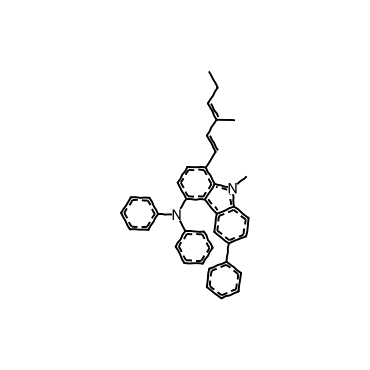 CC/C=C(C)/C=C/c1ccc(N(c2ccccc2)c2ccccc2)c2c3cc(-c4ccccc4)ccc3n(C)c12